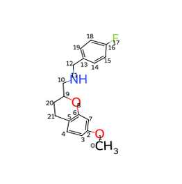 COc1ccc2c(c1)OC(CNCc1ccc(F)cc1)CC2